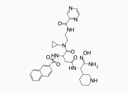 NC(=NO)[C@@H](NC(=O)CC(NS(=O)(=O)c1ccc2ccccc2c1)C(=O)N(CCNC(=O)c1cnccn1)C1CC1)C1CCCNC1